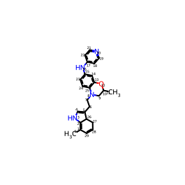 CC1=C2NC=C(CCN3CC(C)Oc4cc(Nc5ccncc5)ccc43)C2CC=C1